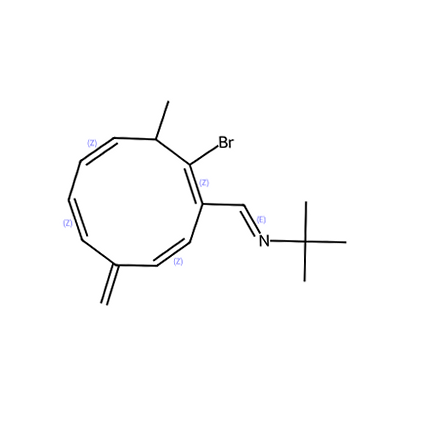 C=C1/C=C\C=C/C(C)/C(Br)=C(/C=N/C(C)(C)C)\C=C/1